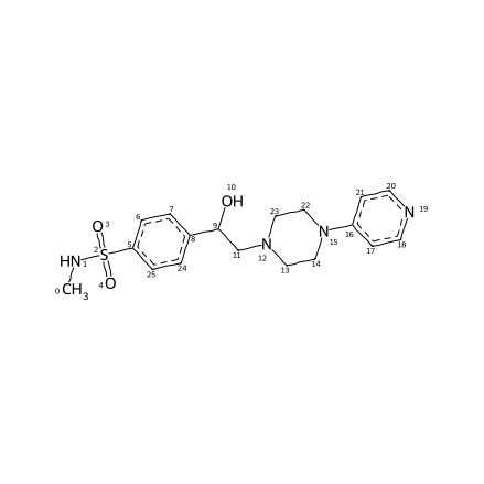 CNS(=O)(=O)c1ccc(C(O)CN2CCN(c3ccncc3)CC2)cc1